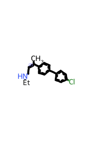 CCNC/C=C(/C)c1ccc(-c2ccc(Cl)cc2)cc1